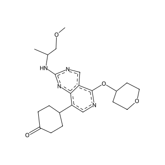 COCC(C)Nc1ncc2c(OC3CCOCC3)ncc(C3CCC(=O)CC3)c2n1